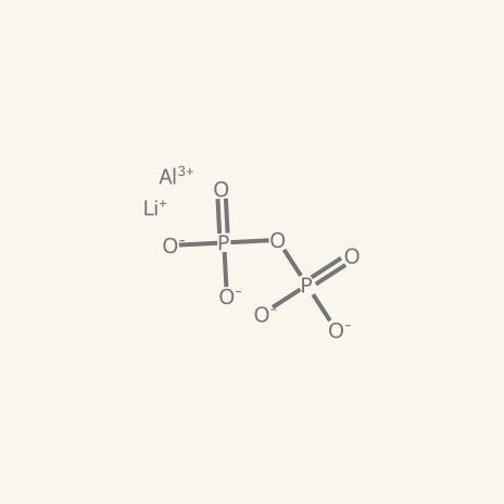 O=P([O-])([O-])OP(=O)([O-])[O-].[Al+3].[Li+]